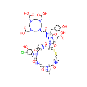 CC(C)C[C@@H]1NC(=O)CNC(=O)[C@H](Cc2ccc(O)c(Cl)c2)NC(=O)[C@@H]2CCCN2C(=O)[C@@H](NC(=O)[C@@H](CCC(=O)O)NC(=O)[C@H](Cc2ccc(O)cc2)NC(=O)CN2CCN(CC(=O)O)CCN(CC(=O)O)CCN(CC(=O)O)CC2)CSSC[C@@H](C)NC1=O